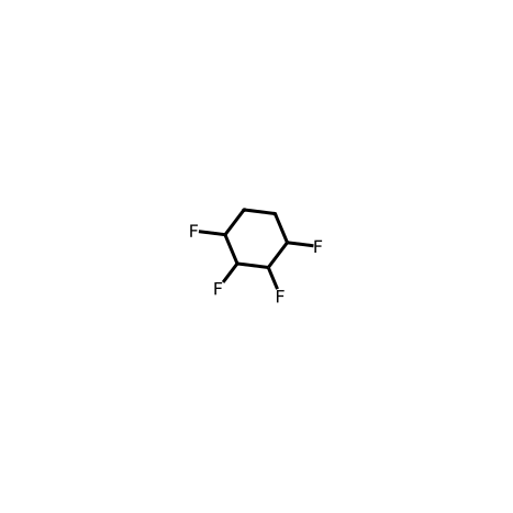 FC1CCC(F)C(F)C1F